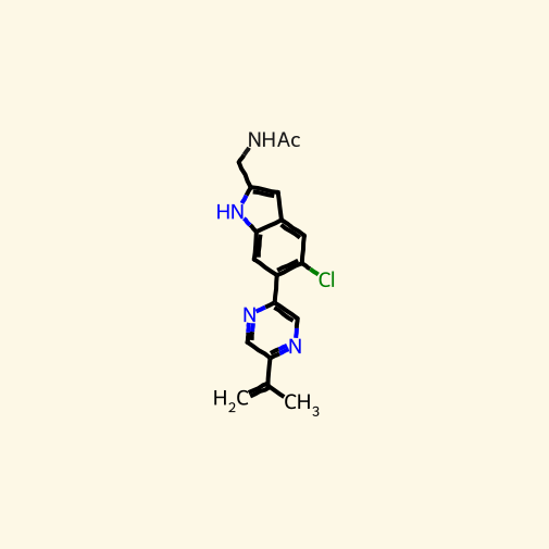 C=C(C)c1cnc(-c2cc3[nH]c(CNC(C)=O)cc3cc2Cl)cn1